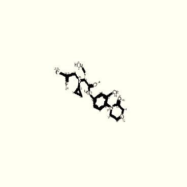 NC[C@H](C(=O)Nc1ccc(N2CCOCC2=O)c(C(F)(F)F)c1)N(CC(F)F)C1CC1